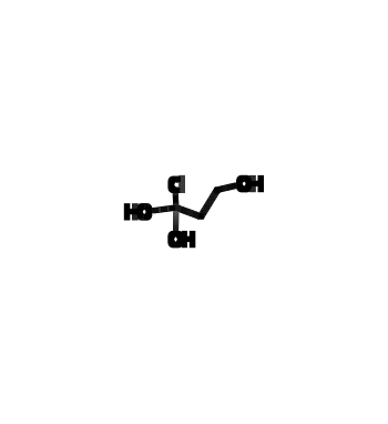 OCCC(O)(O)Cl